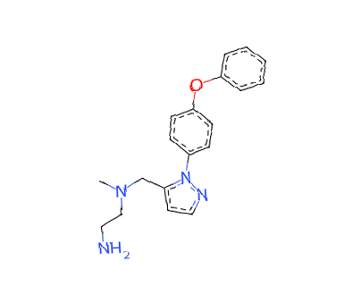 CN(CCN)Cc1ccnn1-c1ccc(Oc2ccccc2)cc1